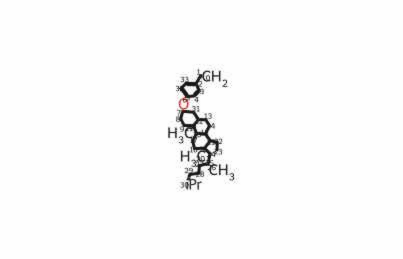 C=Cc1ccc(OC2CC[C@@]3(C)C(CCC4C3CC[C@@]3(C)C4CC[C@@H]3[C@H](C)CCCC(C)C)C2)cc1